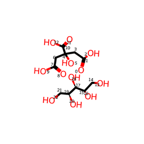 O=C(O)CC(O)(CC(=O)O)C(=O)O.OC[C@@H](O)[C@H](O)[C@@H](O)CO